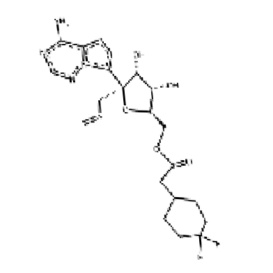 C=NC[C@@]1(c2ccc3c(N)ncnn23)O[C@H](COC(=O)CC2CCC(F)(F)CC2)[C@@H](O)[C@H]1O